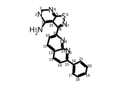 Nc1ncnc2snc(-c3ccc4ccc(-c5ccccc5)nc4n3)c12